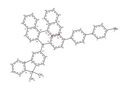 CC(C)(C)c1ccc(-c2ccc(-c3ccc(N(c4ccc5c(c4)-c4ccccc4C5(C)C)c4ccc5ccccc5c4-c4cccc5ccccc45)cc3)cc2)cc1